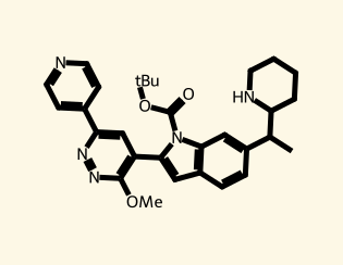 COc1nnc(-c2ccncc2)cc1-c1cc2ccc(C(C)C3CCCCN3)cc2n1C(=O)OC(C)(C)C